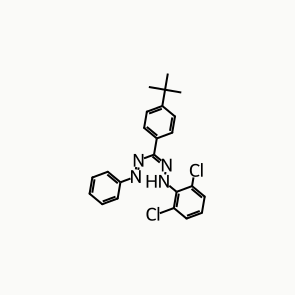 CC(C)(C)c1ccc(C(=N/Nc2c(Cl)cccc2Cl)/N=N/c2ccccc2)cc1